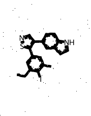 CCc1cc(-c2sncc2-c2ccc3[nH]ccc3c2)cc(C)c1I